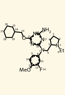 CCN1CCCC1CN(c1ccc(OC)c(F)c1)c1nc(N)nc(OCC2CCCCC2)n1